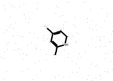 CC1=CC(I)=CCN1